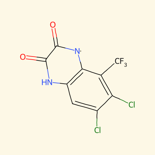 O=C1[N]c2c(cc(Cl)c(Cl)c2C(F)(F)F)NC1=O